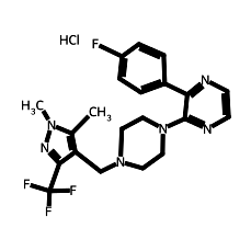 Cc1c(CN2CCN(c3nccnc3-c3ccc(F)cc3)CC2)c(C(F)(F)F)nn1C.Cl